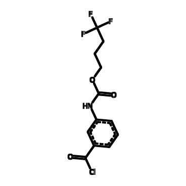 O=C(Nc1cccc(C(=O)Cl)c1)OCCCC(F)(F)F